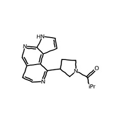 CC(C)C(=O)N1CCC(c2nccc3cnc4[nH]ccc4c23)C1